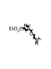 CCOC(=O)c1cn(COCC[SiH](C)C)cn1